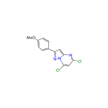 COc1ccc(-c2cc3nc(Cl)cc(Cl)n3n2)cc1